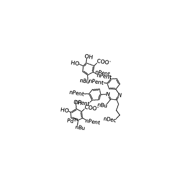 CCCCCCCCCCCCCC(=Nc1ccc(CCCCC)c(CCCCC)c1)C(CCCC)=Nc1ccc(CCCCC)c(CCCCC)c1.CCCCCc1c(CCCC)cc(O)c(O)c1C(=O)[O-].CCCCCc1c(CCCC)cc(O)c(O)c1C(=O)[O-].[Pd+2]